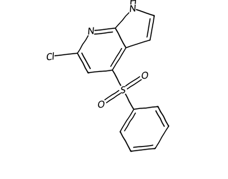 O=S(=O)(c1ccccc1)c1cc(Cl)nc2[nH]ccc12